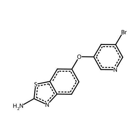 Nc1nc2ccc(Oc3cncc(Br)c3)cc2s1